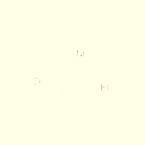 C[CH]C(N)SCC